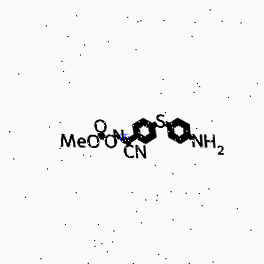 COC(=O)O/N=C(\C#N)c1ccc(Sc2ccc(N)cc2)cc1